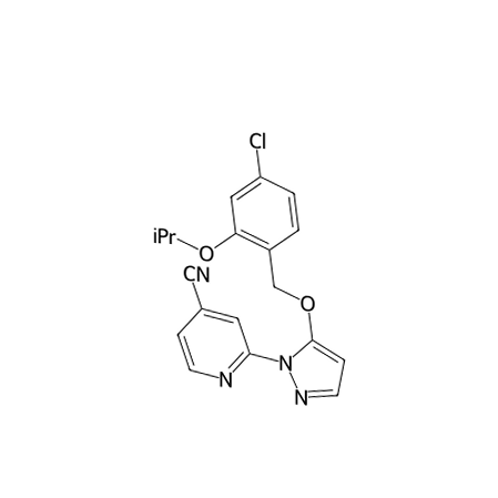 CC(C)Oc1cc(Cl)ccc1COc1ccnn1-c1cc(C#N)ccn1